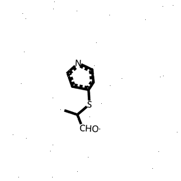 CC([C]=O)Sc1ccncc1